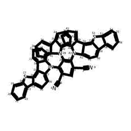 N#Cc1cc(C#N)c(-n2c3ccccc3c3c4sc5ccccc5c4ccc32)c(-n2c3ccccc3c3ccccc32)c1-n1c2ccccc2c2c3sc4ccccc4c3ccc21